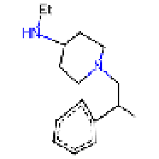 CCNC1CCN(CC(C)c2ccccc2)CC1